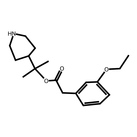 CCOc1cccc(CC(=O)OC(C)(C)C2CCNCC2)c1